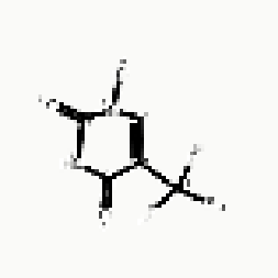 O=c1[nH]c(=O)n(Cl)cc1C(F)(F)F